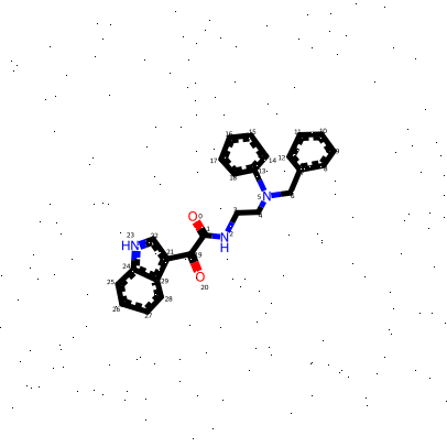 O=C(NCCN(Cc1ccccc1)c1ccccc1)C(=O)c1c[nH]c2ccccc12